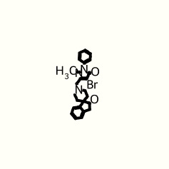 Cn1c(CN2CCC3(CC2)C(=O)Cc2ccccc23)c(Br)c(=O)n1-c1ccccc1